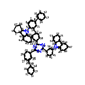 C1=Cc2c(n(-c3ccc(-c4ccccc4)cc3-c3ccc(-c4nc(-c5cccc(-c6ccccc6)c5)nc(-c5cccc(-n6c7ccccc7c7ccccc76)c5)n4)cc3)c3ccccc23)CC1